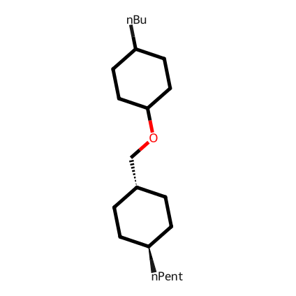 CCCCC[C@H]1CC[C@H](COC2CCC(CCCC)CC2)CC1